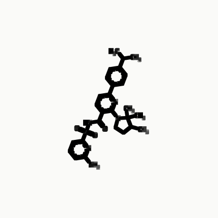 CC(C)c1ccc(-c2ccc(C(=O)NS(=O)(=O)c3cccc(N)n3)c(N3CCC(C)C3(C)C)n2)cc1